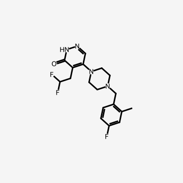 Cc1cc(F)ccc1CN1CCN(c2cn[nH]c(=O)c2CC(F)F)CC1